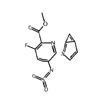 COC(=O)c1ncc(N=S(=O)=O)cc1F.c1cc2cc-2n1